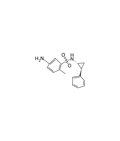 Cc1ccc(N)cc1S(=O)(=O)N[C@@H]1C[C@H]1c1ccccc1